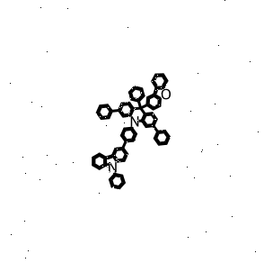 c1ccc(-c2ccc3c(c2)N(c2ccc(-c4ccc5c(c4)c4ccccc4n5-c4ccccc4)cc2)c2cc(-c4ccccc4)ccc2C3(c2ccccc2)c2ccc3oc4ccccc4c3c2)cc1